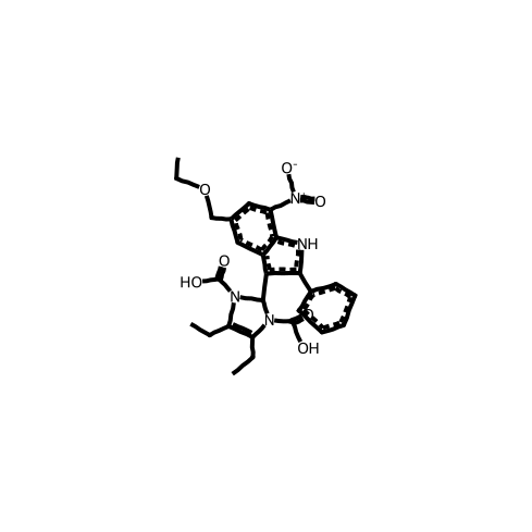 CCOCc1cc([N+](=O)[O-])c2[nH]c(-c3ccccc3)c(C3N(C(=O)O)C(CC)=C(CC)N3C(=O)O)c2c1